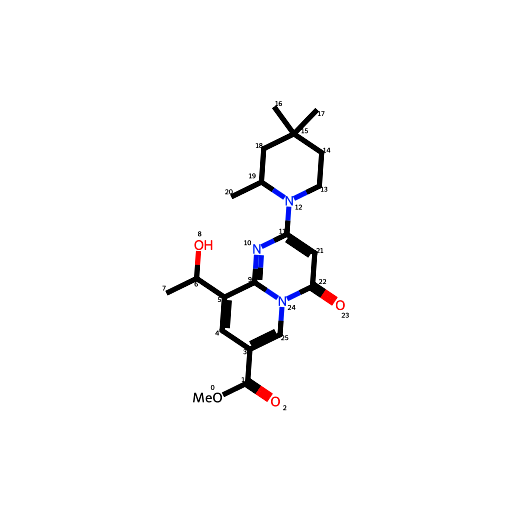 COC(=O)c1cc(C(C)O)c2nc(N3CCC(C)(C)CC3C)cc(=O)n2c1